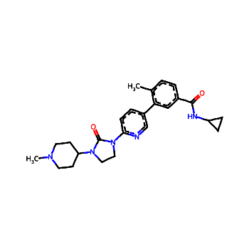 Cc1ccc(C(=O)NC2CC2)cc1-c1ccc(N2CCN(C3CCN(C)CC3)C2=O)nc1